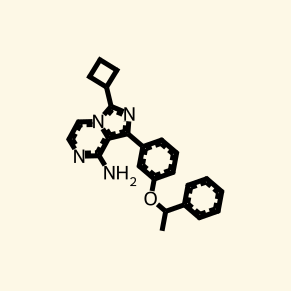 CC(Oc1cccc(-c2nc(C3CCC3)n3ccnc(N)c23)c1)c1ccccc1